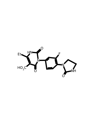 CCc1[nH]c(=O)n(-c2ccc(N3CCNC3=O)c(F)c2)c(=O)c1C(=O)O